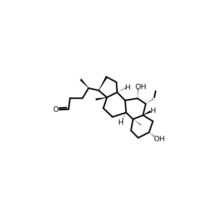 CC[C@H]1[C@@H](O)C2[C@H](CC[C@]3(C)[C@@H]([C@H](C)CCC=O)CC[C@@H]23)[C@]2(C)CC[C@@H](O)C[C@@H]12